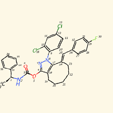 C[C@H](NC(=O)Oc1nn(-c2ccc(Cl)cc2Cl)c2c1CCCCC/C2=C\c1ccc(F)cc1)c1ccccc1